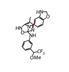 COC(c1cccc(NC23N=CC(C)=C(NO2)N3c2ccc3c(c2)NCO3)c1)C(F)(F)F